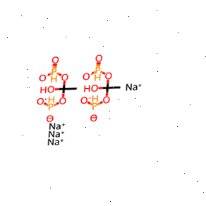 CC(O)(O[PH](=O)[O-])O[PH](=O)[O-].CC(O)(O[PH](=O)[O-])O[PH](=O)[O-].[Na+].[Na+].[Na+].[Na+]